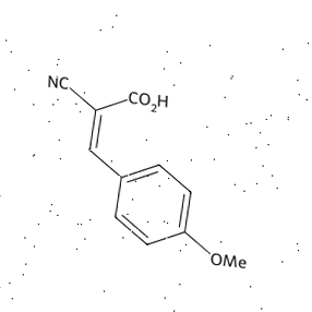 COc1ccc(/C=C(/C#N)C(=O)O)cc1